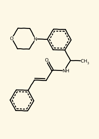 CC(NC(=O)C=Cc1ccccc1)c1cccc(N2CCOCC2)c1